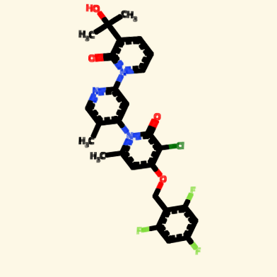 Cc1cnc(-n2cccc(C(C)(C)O)c2=O)cc1-n1c(C)cc(OCc2c(F)cc(F)cc2F)c(Cl)c1=O